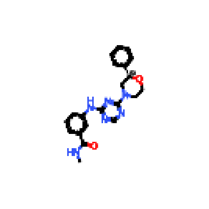 CNC(=O)c1cccc(Nc2ncnc(N3CCO[C@@H](c4ccccc4)C3)n2)c1